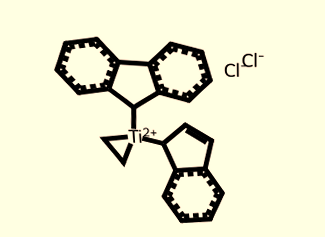 C1=C[CH]([Ti+2]2([CH]3c4ccccc4-c4ccccc43)[CH2][CH2]2)c2ccccc21.[Cl-].[Cl-]